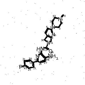 CN1CCN(c2ccc3c(n2)CN(C(=O)Nc2nc(-c4ccc(F)cc4)ccc2N)C3)CC1